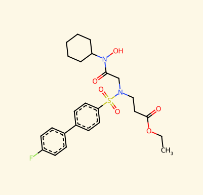 CCOC(=O)CCN(CC(=O)N(O)C1CCCCC1)S(=O)(=O)c1ccc(-c2ccc(F)cc2)cc1